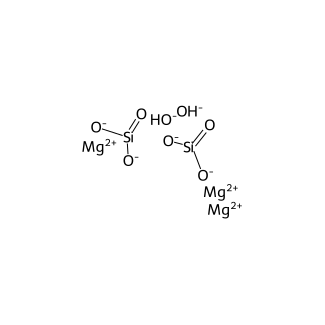 O=[Si]([O-])[O-].O=[Si]([O-])[O-].[Mg+2].[Mg+2].[Mg+2].[OH-].[OH-]